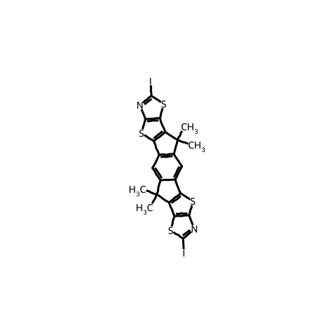 CC1(C)c2cc3c(cc2-c2sc4nc(I)sc4c21)C(C)(C)c1c-3sc2nc(I)sc12